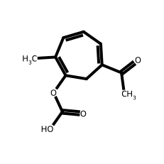 CC(=O)C1=CC=CC(C)=C(OC(=O)O)C1